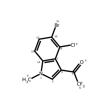 Cn1cc(C(=O)C(F)(F)F)c2c(Cl)c(Br)ccc21